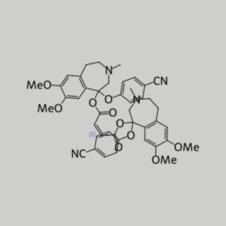 COc1cc2c(cc1OC)C(OC(=O)/C=C\C(=O)OC1(Oc3ccc(C#N)cc3)CN(C)CCc3cc(OC)c(OC)cc31)(Oc1ccc(C#N)cc1)CN(C)CC2